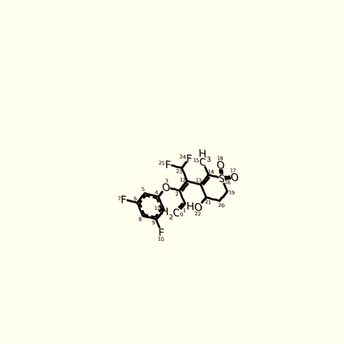 C=C/C(Oc1cc(F)cc(F)c1)=C(\C1=C(C)S(=O)(=O)CCC1O)C(F)F